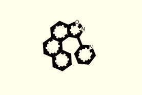 c1ccc(-c2noc3ccc4ccc5ccccc5c4c23)nc1